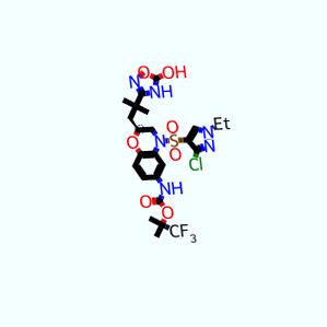 CCn1cc(S(=O)(=O)N2C[C@H](CC(C)(C)C3=NOC(O)N3)Oc3ccc(NC(=O)OC(C)(C)C(F)(F)F)cc32)c(Cl)n1